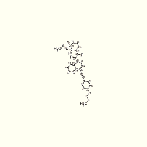 CCCCc1ccc(C#Cc2ccc(/C(F)=C(\F)C3=CC=CC(F)(OCC)C3F)c3ccccc23)cc1